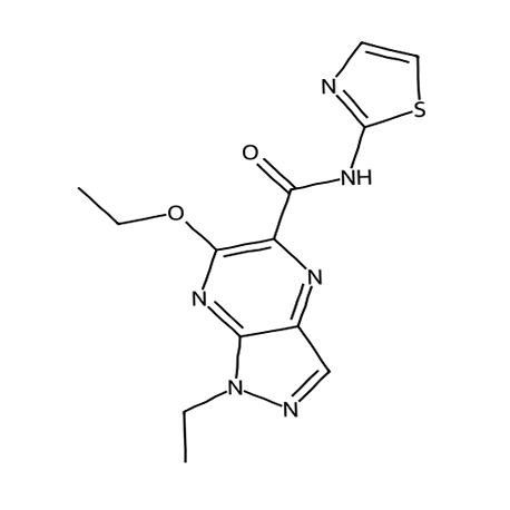 CCOc1nc2c(cnn2CC)nc1C(=O)Nc1nccs1